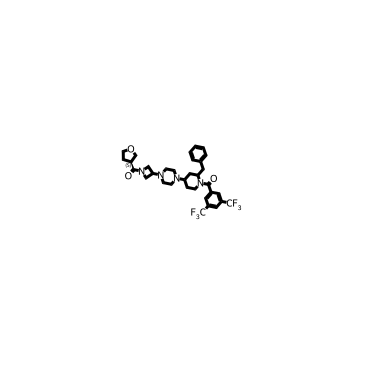 O=C([C@H]1CCOC1)N1CC(N2CCN(C3CCN(C(=O)c4cc(C(F)(F)F)cc(C(F)(F)F)c4)C(Cc4ccccc4)C3)CC2)C1